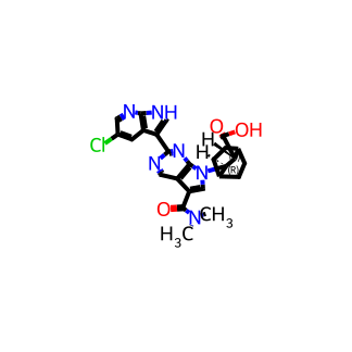 CN(C)C(=O)c1cn([C@@H]2C3CCC(CC3)[C@H]2C(=O)O)c2nc(-c3c[nH]c4ncc(Cl)cc34)ncc12